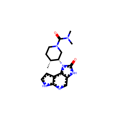 C[C@@H]1CCN(C(=O)N(C)C)C[C@@H]1n1c(=O)[nH]c2cnc3[nH]ccc3c21